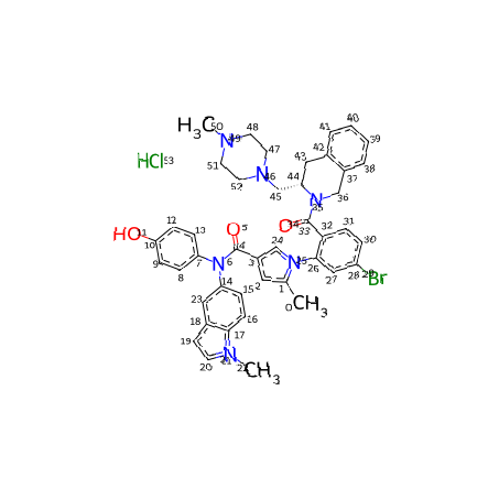 Cc1cc(C(=O)N(c2ccc(O)cc2)c2ccc3c(ccn3C)c2)cn1-c1cc(Br)ccc1C(=O)N1Cc2ccccc2C[C@H]1CN1CCN(C)CC1.Cl